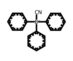 N#C[B-](c1ccccc1)(c1ccccc1)c1ccccc1